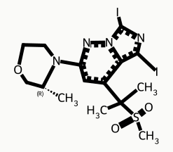 C[C@@H]1COCCN1c1cc(C(C)(C)S(C)(=O)=O)c2c(I)nc(I)n2n1